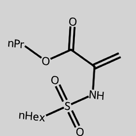 C=C(NS(=O)(=O)CCCCCC)C(=O)OCCC